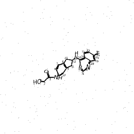 O=C(CO)Nc1ccc2c(c1)CC(Nc1ncnc3cc(F)ccc13)C2